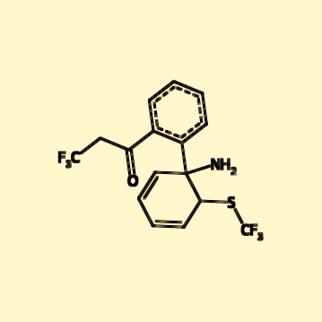 NC1(c2ccccc2C(=O)CC(F)(F)F)C=CC=CC1SC(F)(F)F